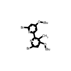 Cc1c(OC(C)(C)C)cc(Br)nc1-c1cc(OC(C)(C)C)cc(Br)n1